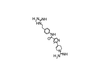 N=C(N)NCCc1ccc(NC(=O)c2cnc(C3=CCN(C(=N)N)CC3)s2)cc1